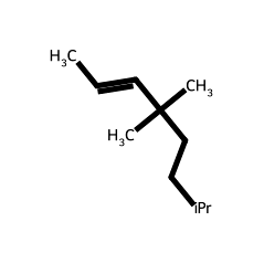 [CH2]C(C)CCC(C)(C)C=CC